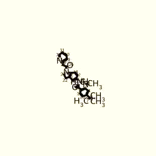 CN(C)c1cc(C(C)(C)C)ccc1C(=O)Nc1ccc2c(c1)CCN2C(=O)Cc1ccccn1